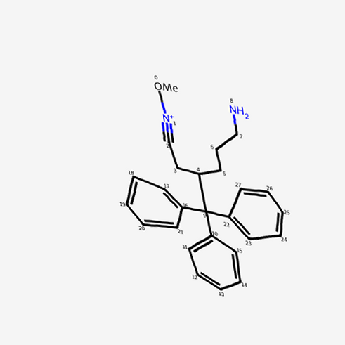 CO[N+]#CC[C](CCCN)C(c1ccccc1)(c1ccccc1)c1ccccc1